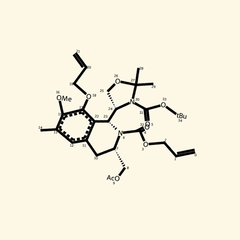 C=CCOC(=O)N1[C@H](COC(C)=O)Cc2cc(C)c(OC)c(OCC=C)c2[C@@H]1[C@@H]1COC(C)(C)N1C(=O)OC(C)(C)C